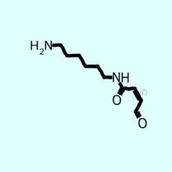 NCCCCCCNC(=O)/C=C\C=O